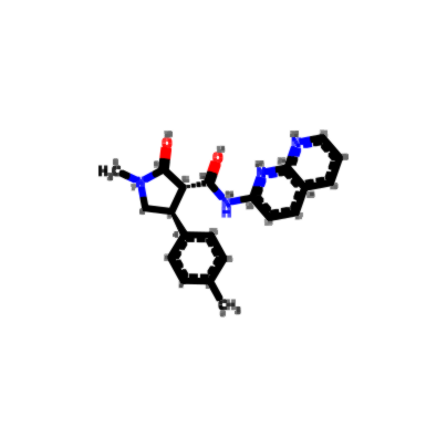 Cc1ccc([C@H]2CN(C)C(=O)[C@@H]2C(=O)Nc2ccc3cccnc3n2)cc1